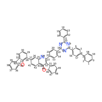 c1ccc(-c2ccc(-c3nc(-c4ccccc4)nc(-c4ccc(-c5nc6cc(-c7cccc8c7oc7ccccc78)ccc6c6oc7ccccc7c56)cc4)n3)cc2)cc1